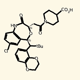 CC(C)(C)C(c1cccc2c1OCCO2)[C@@H]1O[C@@H](CC(=O)N2CCC(C(=O)O)CC2)C(=O)Nc2ccc(Cl)cc21